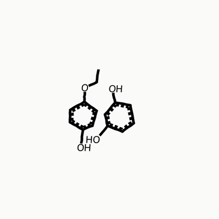 CCOc1ccc(O)cc1.Oc1cccc(O)c1